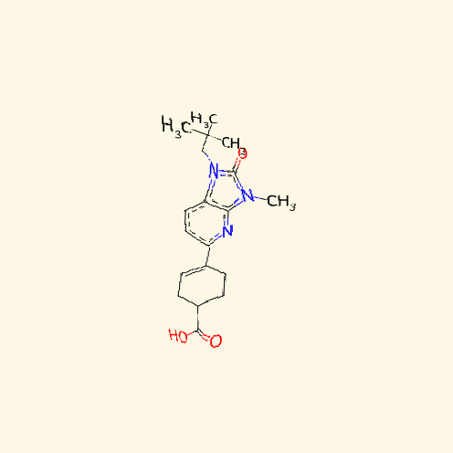 Cn1c(=O)n(CC(C)(C)C)c2ccc(C3=CCC(C(=O)O)CC3)nc21